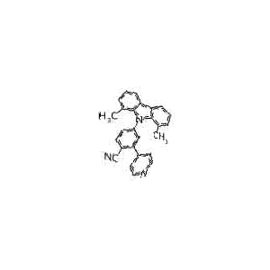 Cc1cccc2c3cccc(C)c3n(-c3ccc(C#N)c(-c4ccncc4)c3)c12